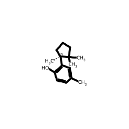 Cc1ccc(O)c([C@@]2(C)CCCC2(C)C)c1